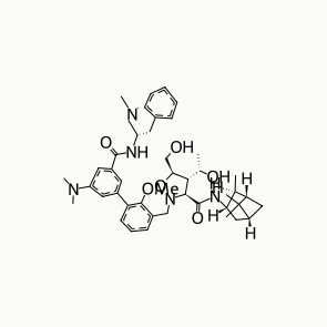 COc1c(CN2O[C@@H](CO)[C@H]([C@H](C)O)[C@H]2C(=O)N[C@H]2C[C@H]3C[C@@H]([C@@H]2C)C3(C)C)cccc1-c1cc(C(=O)N[C@@H](Cc2ccccc2)CN(C)C)cc(N(C)C)c1